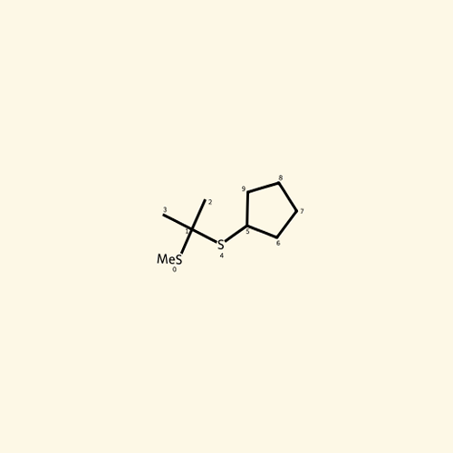 CSC(C)(C)SC1CCCC1